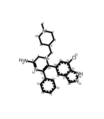 CN1CCC(CN2CC(N)=NC(c3ccccc3)=C2c2cc(Cl)c3[nH]ncc3c2)CC1